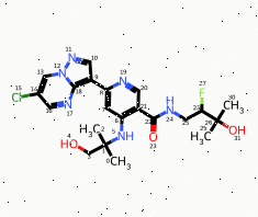 CC(C)(CO)Nc1cc(-c2cnn3cc(Cl)cnc23)ncc1C(=O)NCC(F)C(C)(C)O